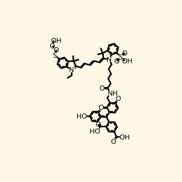 CC[N+]1=C(/C=C/C=C/C=C2/N(CCCCCC(=O)NCc3c4oc5cc(O)ccc5c(-c5ccc(C(=O)O)cc5C(=O)O)c-4ccc3=O)c3c(cccc3S(=O)(=O)O)C2(C)C)C(C)(C)c2cc(SOOO)ccc21